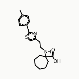 Cc1ccc(-c2nc(CCNC3(C(=O)O)CCCCCC3)cs2)cc1